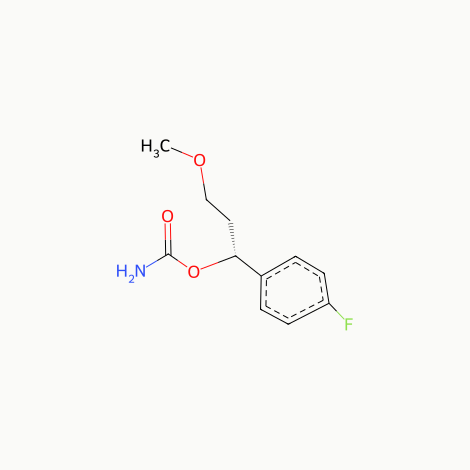 COCC[C@@H](OC(N)=O)c1ccc(F)cc1